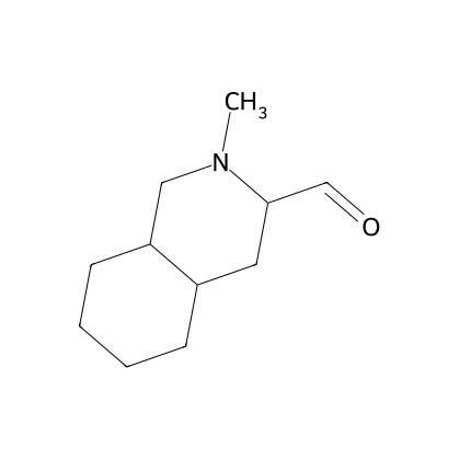 CN1CC2CCCCC2CC1C=O